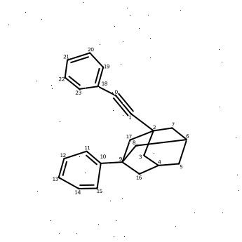 C(#CC12CC3CC(C1)CC(c1ccccc1)(C3)C2)c1ccccc1